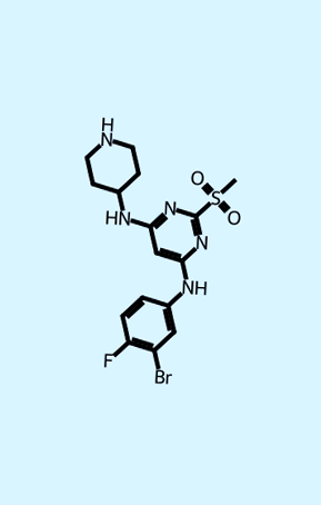 CS(=O)(=O)c1nc(Nc2ccc(F)c(Br)c2)cc(NC2CCNCC2)n1